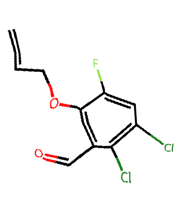 C=CCOc1c(F)cc(Cl)c(Cl)c1C=O